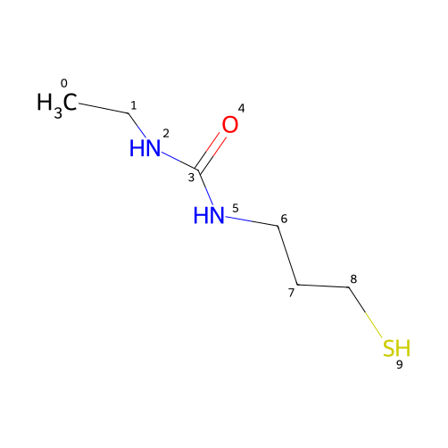 CCNC(=O)NCCCS